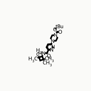 CC(C)(C)OC(=O)N1CCN(c2ccc(C(=O)NC3C(C)(C)CC3(C)C)nn2)CC1